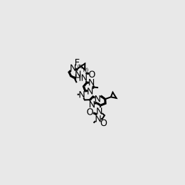 Cc1ccnc([C@@]2(F)C[C@@H]2C(=O)Nc2cc(N(C)Cc3cn4cc(C5CC5)cc(N5CC(=O)N(C)C5=O)c4n3)nc(C)n2)n1